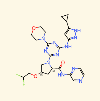 O=C(Nc1cnccn1)[C@@H]1C[C@H](OCC(F)F)CN1c1nc(Nc2cc(C3CC3)[nH]n2)nc(N2CCOCC2)n1